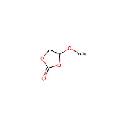 CCCCOC1COC(=O)O1